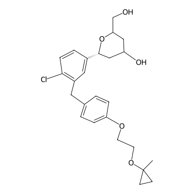 CC1(OCCOc2ccc(Cc3cc([C@H]4CC(O)CC(CO)O4)ccc3Cl)cc2)CC1